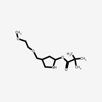 COCCOCC1CNC(OC(=O)C(C)(C)C)C1